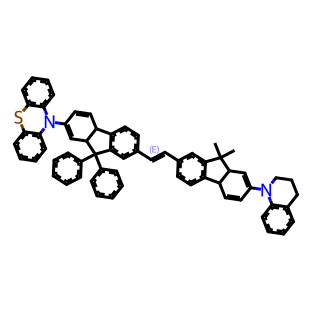 CC1(C)c2cc(/C=C/c3ccc4c(c3)C(c3ccccc3)(c3ccccc3)C3C=C(N5c6ccccc6Sc6ccccc65)C=CC43)ccc2C2C=CC(N3CCCc4ccccc43)=CC21